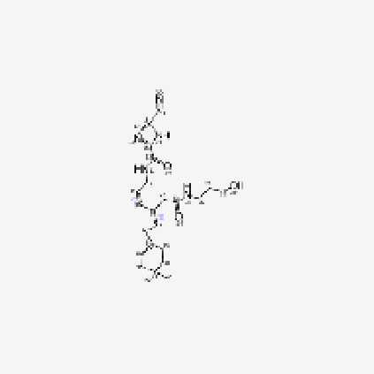 CC1(C)CC=C(C/C=C(\C=C/CNC(=O)c2ncc(C#N)[nH]2)CC(=O)NCCCO)CC1